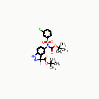 CC(C)(C)OC(=O)N(c1ccc2c(c1)C(I)(C(=O)OC(C)(C)C)NN2)S(=O)(=O)c1cccc(F)c1